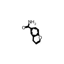 NC(=O)c1ccc2c(c1)CC=CO2